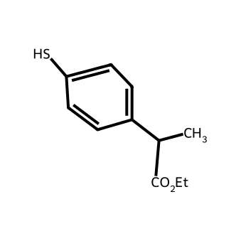 CCOC(=O)C(C)c1ccc(S)cc1